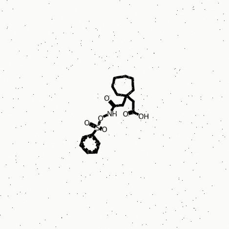 O=C(O)CC1(CC(=O)NOS(=O)(=O)c2ccccc2)CCCCCC1